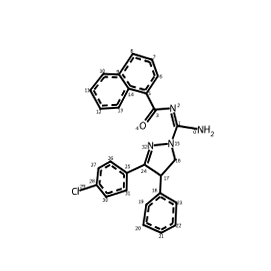 NC(=NC(=O)c1cccc2ccccc12)N1CC(c2ccccc2)C(c2ccc(Cl)cc2)=N1